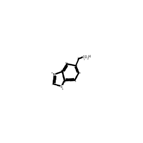 O=C(O)Cc1ccc2scnc2c1